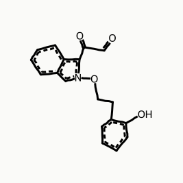 O=CC(=O)c1c2ccccc2cn1OCCc1ccccc1O